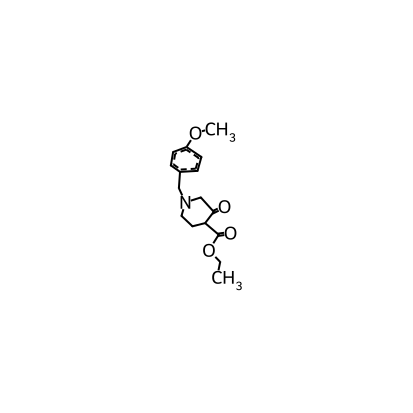 CCOC(=O)C1CCN(Cc2ccc(OC)cc2)CC1=O